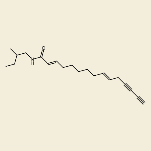 C#CC#CCC=CCCCCCC=CC(=O)NCC(C)CC